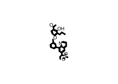 CCCc1c(OCc2cccc(-c3cc(C(CC)S(C)(=O)=O)cc4cccnc34)c2)ccc(C(C)=O)c1O